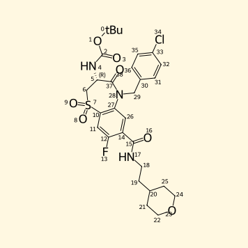 CC(C)(C)OC(=O)N[C@H]1CS(=O)(=O)c2cc(F)c(C(=O)NCCC3CCOCC3)cc2N(Cc2ccc(Cl)cc2)C1=O